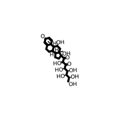 C[C@]12C=CC(=O)C=C1CC[C@@H]1[C@@H]2[C@@H](O)C[C@@]2(C)[C@H]1CC[C@]2(O)C(=O)C(O)C(=O)[C@H](O)[C@@H](O)[C@H](O)[C@H](O)CO